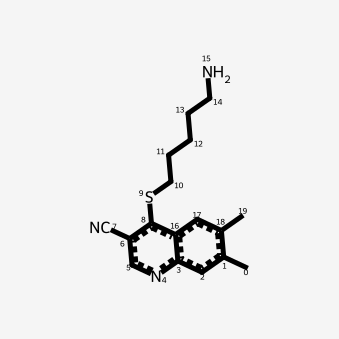 Cc1cc2ncc(C#N)c(SCCCCCN)c2cc1C